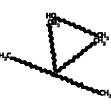 CCCCCCCCC=CCCCCCCCC(=O)O.CCCCCCCCC=CCCCCCCCCN(CCCCCCCCC=CCCCCCCCC)C(CCCCCCCCCCCCCCCCCC)CCCCCCCCCCCCCCCCCC